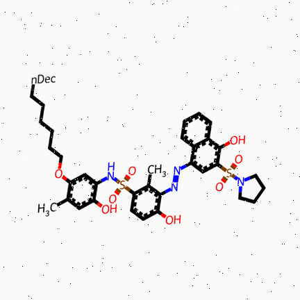 CCCCCCCCCCCCCCCCOc1cc(NS(=O)(=O)c2ccc(O)c(N=Nc3cc(S(=O)(=O)N4CCCC4)c(O)c4ccccc34)c2C)c(O)cc1C